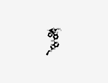 C#CCOc1cnc2c(Nc3ccc(F)c([C@@]4(C)N=C(N)S[C@]5(C(=O)N6CCCC6)[C@H]4[C@@H]5C)c3)nccc2n1